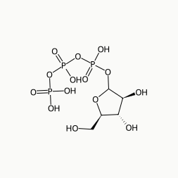 O=P(O)(O)OP(=O)(O)OP(=O)(O)OC1O[C@H](CO)[C@@H](O)[C@@H]1O